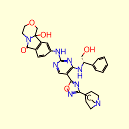 O=C1c2ccc(Nc3ncc(-c4nc(C56CCN(CC5)CC6)no4)c(N[C@H](CO)c4ccccc4)n3)cc2C2(O)COCCN12